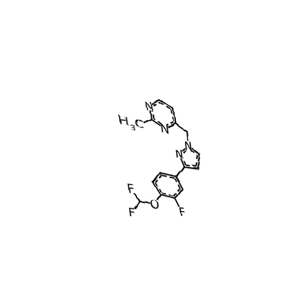 Cc1nccc(Cn2ccc(-c3ccc(OC(F)F)c(F)c3)n2)n1